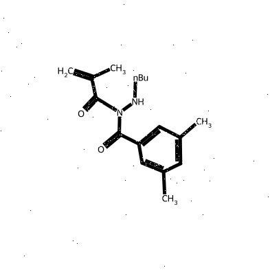 C=C(C)C(=O)N(NCCCC)C(=O)c1cc(C)cc(C)c1